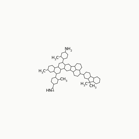 CC1CCC2C(C1)C(C1CCC(C3CN3)CC1C)CC1C3CC4C(CC3C(C3CCC(N)CC3C)CC21)C1CCCC2C(C3CCC5C6CCCCC6C(C)(C)C5C3)CCC4C21